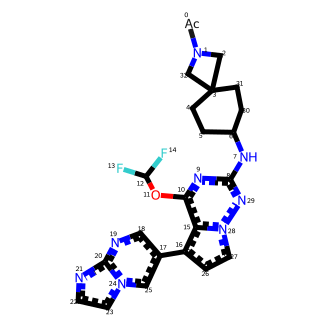 CC(=O)N1CC2(CCC(Nc3nc(OC(F)F)c4c(-c5cnc6nccn6c5)ccn4n3)CC2)C1